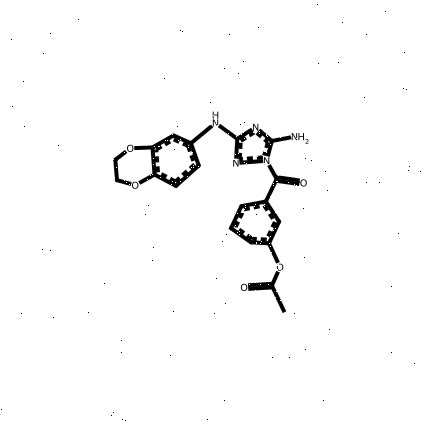 CC(=O)Oc1cccc(C(=O)n2nc(Nc3ccc4c(c3)OCCO4)nc2N)c1